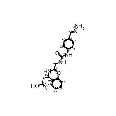 NN=Cc1ccc(NC(=O)NCC(=O)NC(CC(=O)O)c2ccccc2)cc1